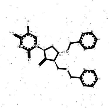 C=C1[C@H](COCc2ccccc2)[C@@H](OCc2ccccc2)C[C@@H]1n1cc(I)c(=O)[nH]c1=O